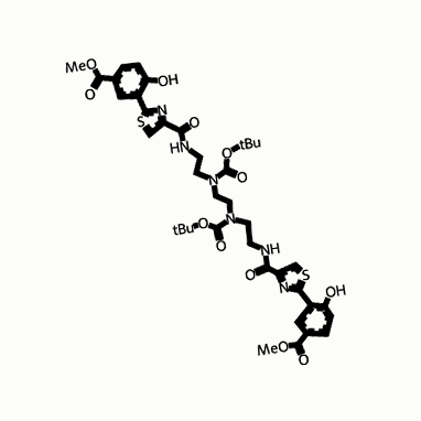 COC(=O)c1ccc(O)c(-c2nc(C(=O)NCCN(CCN(CCNC(=O)c3csc(-c4cc(C(=O)OC)ccc4O)n3)C(=O)OC(C)(C)C)C(=O)OC(C)(C)C)cs2)c1